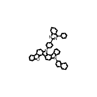 c1ccc(-c2nc(-c3ccc(-n4c5ccc6c7ccccc7oc6c5c5ccc6c(c7ccccc7n6-c6ccc7ccccc7c6)c54)cc3)nc3ccccc23)cc1